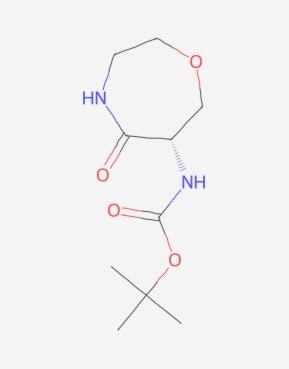 CC(C)(C)OC(=O)N[C@H]1COCCNC1=O